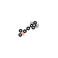 CCC1(CC)c2ccccc2-c2c(C)cc(-c3ccc(-c4ccc(P(=O)(c5ccccc5)c5ccccc5)cc4)cc3)c3cccc1c23